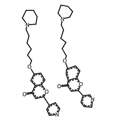 O=c1cc(-c2cccnc2)oc2ccc(OCCCCCCN3CCCCC3)cc12.O=c1cc(-c2ccncc2)oc2ccc(OCCCCCCN3CCCCC3)cc12